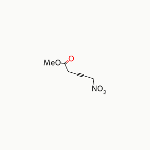 COC(=O)CC#CC[N+](=O)[O-]